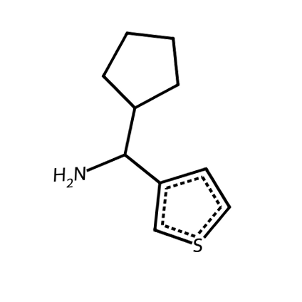 NC(c1ccsc1)C1CCCC1